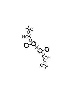 C=C(C)C(=O)OCC(O)COc1ccc(C(C)(C)c2ccc(OCC(O)COC(=O)C(=C)C)c(-c3ccccc3)c2)cc1-c1ccccc1